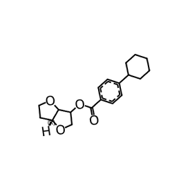 O=C(OC1CO[C@@H]2CCOC12)c1ccc(C2CCCCC2)cc1